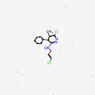 Cc1c(Cl)nnc(NC/C=C/Cl)c1-c1ccccc1